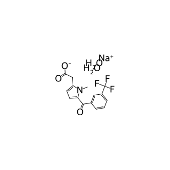 Cn1c(CC(=O)[O-])ccc1C(=O)c1cccc(C(F)(F)F)c1.O.O.[Na+]